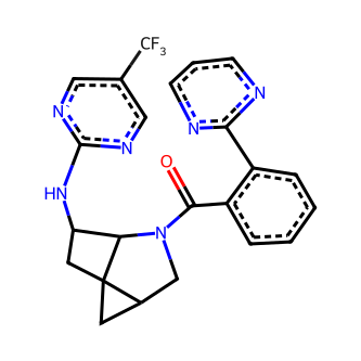 O=C(c1ccccc1-c1ncccn1)N1CC2CC23CC(Nc2ncc(C(F)(F)F)cn2)C13